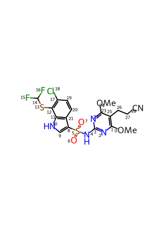 COc1nc(NS(=O)(=O)c2c[nH]c3c(SC(F)F)c(Cl)ccc23)nc(OC)c1CCC#N